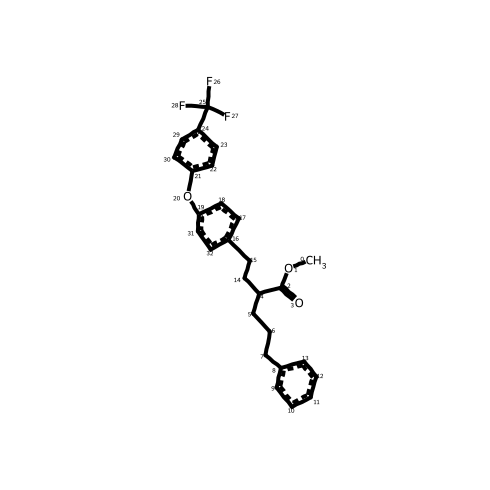 COC(=O)C(CCCc1ccccc1)CCc1ccc(Oc2ccc(C(F)(F)F)cc2)cc1